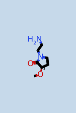 CO[C@@H]1CCN(CCN)C1=O